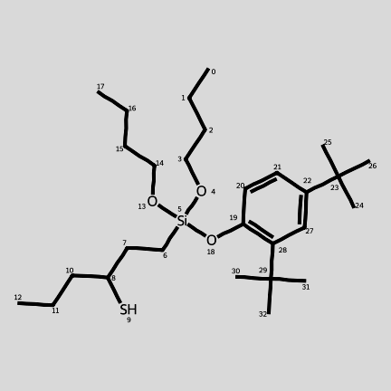 CCCCO[Si](CCC(S)CCC)(OCCCC)Oc1ccc(C(C)(C)C)cc1C(C)(C)C